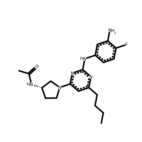 CCCCc1cc(N2CC[C@H](NC(C)=O)C2)nc(Nc2ccc(F)c(N)c2)n1